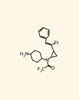 CCC(=Cc1ccccc1)C1CC1N(C(=O)C(F)(F)F)C1CCC(N)CC1